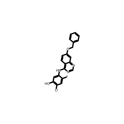 Oc1cc(Nc2ncnc3cc(OCc4ccccc4)ccc23)c(F)cc1Cl